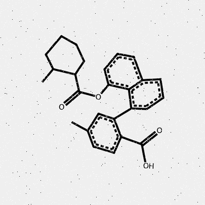 Cc1ccc(C(=O)O)c(-c2cccc3cccc(OC(=O)C4CCCCC4C)c23)c1